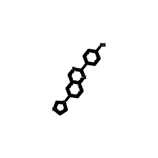 Oc1ccc(-c2ncc3cc(-n4ccnc4)ccc3n2)cc1